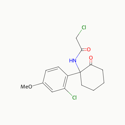 COc1ccc(C2(NC(=O)CCl)CCCCC2=O)c(Cl)c1